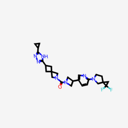 O=C(N1CC(c2ccc(N3CCC4(C3)CC4(F)F)nc2)C1)N1CC2(CC(c3nnc(C4CC4)[nH]3)C2)C1